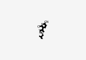 C=C(C)Cn1cc(-c2ccc(C#N)nc2Cl)cn1